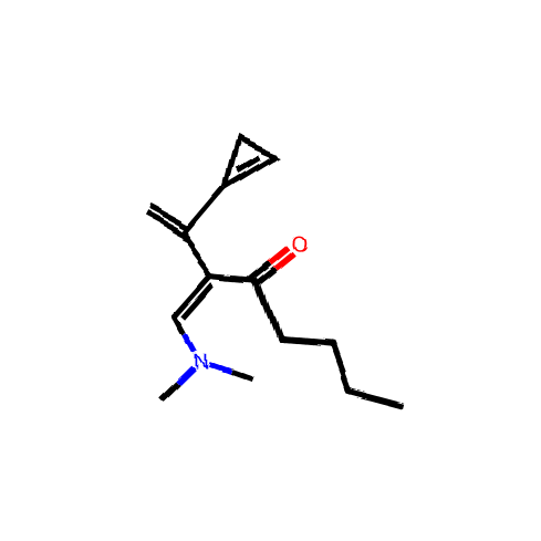 C=C(C1=CC1)/C(=C/N(C)C)C(=O)CCCC